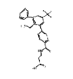 NCc1c(-c2ccccc2)cc(C(F)(F)F)cc1-c1ccc(C(=O)NCCC(=O)O)nc1